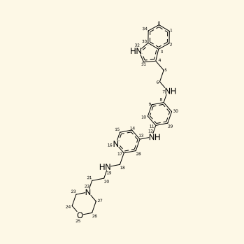 c1ccc2c(CCNc3ccc(Nc4ccnc(CNCCN5CCOCC5)c4)cc3)c[nH]c2c1